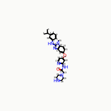 CC(C)c1cccc(Nc2nc3cc(Oc4ccnc(NC(=O)CN5CCNCC5)c4)ccc3n2C)c1